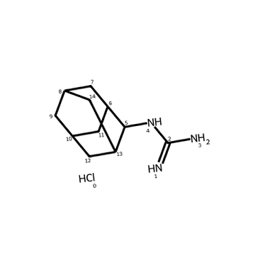 Cl.N=C(N)NC1C2CC3CC(C2)CC1C3